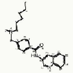 CCCCCCN(C)Cc1ccc(C(=O)Nc2cnc3ccccc3c2)cc1